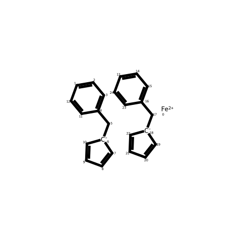 [Fe+2].c1ccc(C[c-]2cccc2)cc1.c1ccc(C[c-]2cccc2)cc1